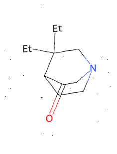 CCC1(CC)CN2CCC1C(=O)C2